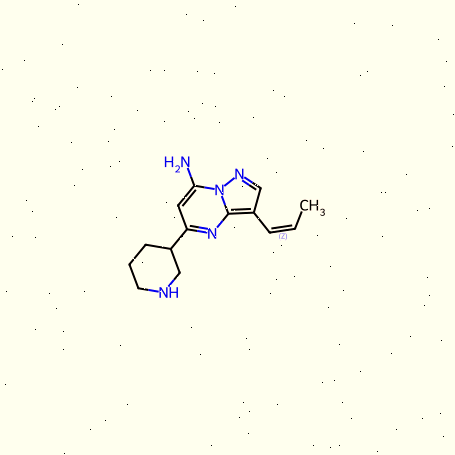 C/C=C\c1cnn2c(N)cc(C3CCCNC3)nc12